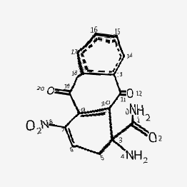 NC(=O)C1(N)CC=C([N+](=O)[O-])C2=C1C(=O)c1ccccc1C2=O